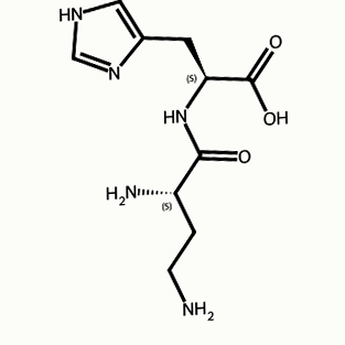 NCC[C@H](N)C(=O)N[C@@H](Cc1c[nH]cn1)C(=O)O